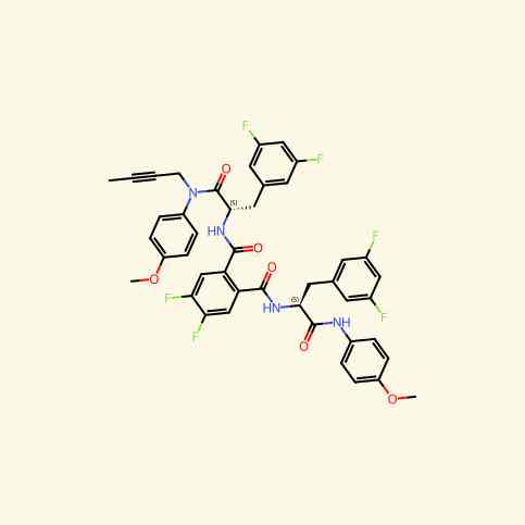 CC#CCN(C(=O)[C@H](Cc1cc(F)cc(F)c1)NC(=O)c1cc(F)c(F)cc1C(=O)N[C@@H](Cc1cc(F)cc(F)c1)C(=O)Nc1ccc(OC)cc1)c1ccc(OC)cc1